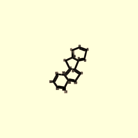 c1ccc2c(c1)Cc1c-2ccc2ncccc12